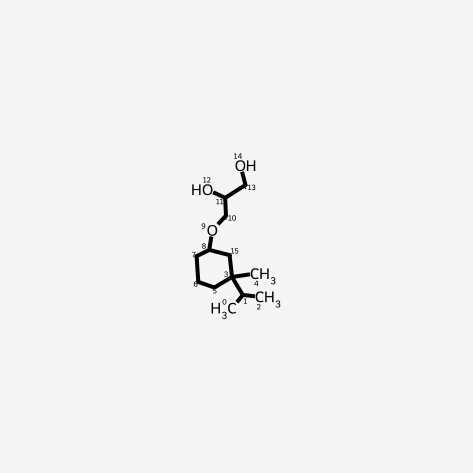 CC(C)C1(C)CCCC(O[CH]C(O)[CH]O)C1